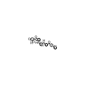 O=C1CCC(N2Cc3c(Nc4ccnc(Nc5cccc(C(=O)N6CCN(c7ccccn7)CC6)c5)n4)cccc3C2=O)C(=O)N1